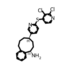 N[C@H]1CC[C@H](c2ccc(Sc3ccnc(Cl)c3Cl)nc2)CCCc2ccccc21